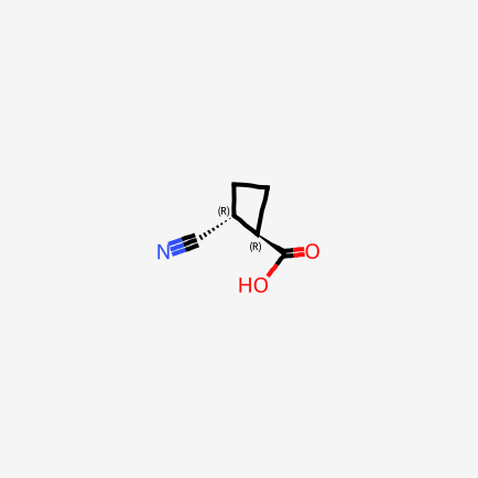 N#C[C@@H]1CC[C@H]1C(=O)O